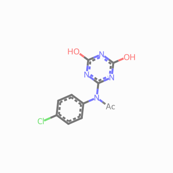 CC(=O)N(c1ccc(Cl)cc1)c1nc(O)nc(O)n1